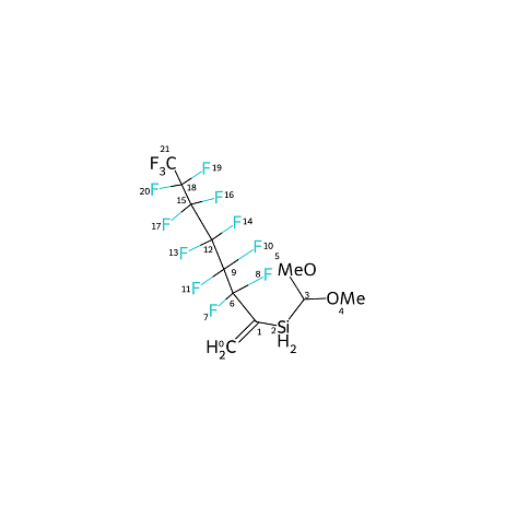 C=C([SiH2]C(OC)OC)C(F)(F)C(F)(F)C(F)(F)C(F)(F)C(F)(F)C(F)(F)F